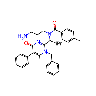 Cc1ccc(C(=O)N(CCCN)C(c2nc(=O)c(-c3ccccc3)c(C)n2Cc2ccccc2)C(C)C)cc1